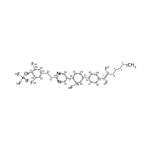 CCCCC/C(F)=C(\F)c1ccc(-c2ccc(-c3cnc(CCc4cc(F)c(OC(F)(F)F)c(F)c4)nc3)c(F)c2)cc1